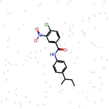 CCC(C)c1ccc(NC(=O)c2ccc(Cl)c([N+](=O)[O-])c2)cc1